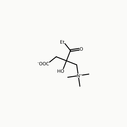 CCC(=O)C(O)(CC(=O)[O-])C[N+](C)(C)C